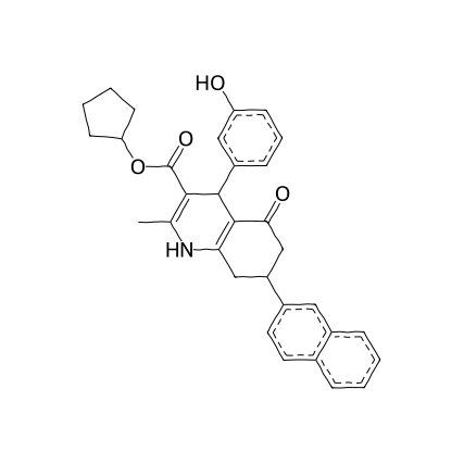 CC1=C(C(=O)OC2CCCC2)C(c2cccc(O)c2)C2=C(CC(c3ccc4ccccc4c3)CC2=O)N1